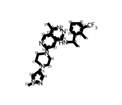 Cc1c(C(C)Nc2nnc(C)c3cnc(N4CCN(c5cnn(C)c5)CC4)cc23)cccc1C(F)(F)F